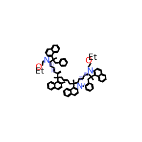 C=C(/C=C/C=C1/N(CCOCC)c2ccc3ccccc3c2C1(C)Cc1ccccc1)C(C)(CC=CCC1(C)C(/C=C/C=C2/N(CCOCC)c3ccc4ccccc4c3C2(C)Cc2ccccc2)=[N+](C)c2ccc3ccccc3c21)c1c(C)ccc2ccccc12